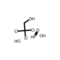 Cl.Cl.O=P.OCC(Cl)(Cl)Cl